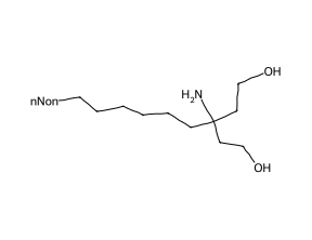 CCCCCCCCCCCCCCCC(N)(CCO)CCO